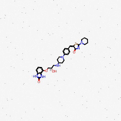 O=C1N=C(N2CCCCC2)SC1=Cc1ccc(N2CCC(NC[C@H](O)COc3cccc4[nH]c(=O)[nH]c34)CC2)cc1